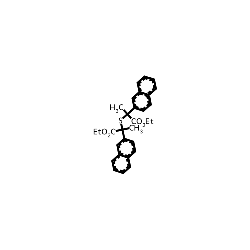 CCOC(=O)C(C)(SC(C)(C(=O)OCC)c1ccc2ccccc2c1)c1ccc2ccccc2c1